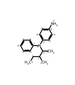 CCC(C)C(C)N(c1ccccc1)c1ccc(N)cc1